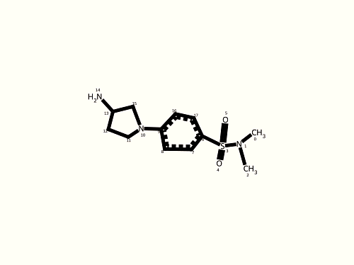 CN(C)S(=O)(=O)c1ccc(N2CCC(N)C2)cc1